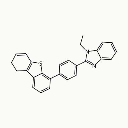 CCn1c(-c2ccc(-c3cccc4c5c(sc34)C=CCC5)cc2)nc2ccccc21